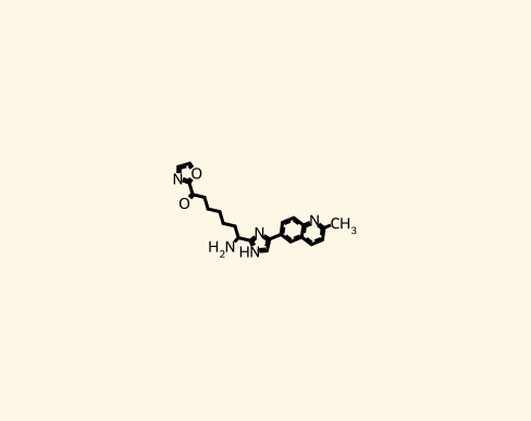 Cc1ccc2cc(-c3c[nH]c(C(N)CCCCCC(=O)c4ncco4)n3)ccc2n1